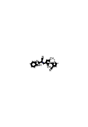 Cc1cc(/C=C(\C#N)c2nc3ccccc3[nH]2)c(C)n1-c1sccc1C#N